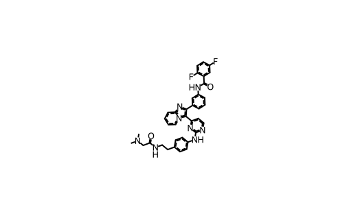 CN(C)CC(=O)NCCc1ccc(Nc2nccc(-c3c(-c4cccc(NC(=O)c5cc(F)ccc5F)c4)nc4ccccn34)n2)cc1